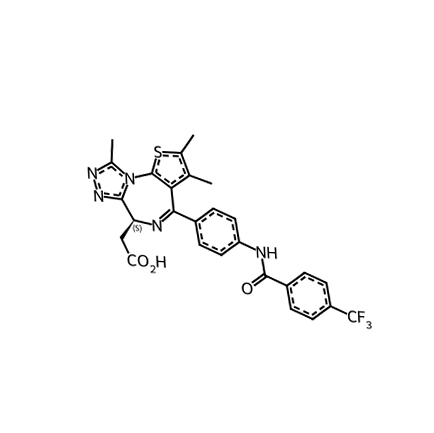 Cc1sc2c(c1C)C(c1ccc(NC(=O)c3ccc(C(F)(F)F)cc3)cc1)=N[C@@H](CC(=O)O)c1nnc(C)n1-2